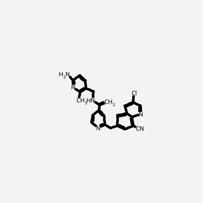 C=C(NCc1ccc(N)nc1C)c1ccnc(Cc2cc(C#N)c3ncc(Cl)cc3c2)c1